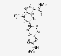 CNC(=O)c1csc2c(C(F)(F)F)cc(N3CCC(OC(=O)NC(C)C)CC3)nc12